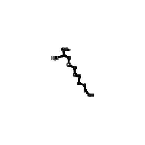 CSC(C)OOOOOOOOO